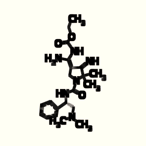 CCOC(=O)N/C(N)=C1/CN(C(=O)N[C@H](CN(C)C)c2ccccc2)C(C)(C)C1=N